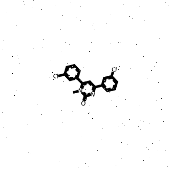 Cn1c(-c2cccc(Cl)c2)cc(-c2cccc(Cl)c2)nc1=O